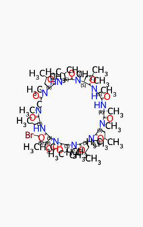 CC[C@@H]1NC(=O)[C@H]([C@H](O)[C@H](C)CBr)N(C)C(=O)[C@H](C(C)C)N(C)C(=O)[C@H](CC(C)C)N(C)C(=O)[C@H](CC(C)C)N(C)C(=O)[C@@H](C)NC(=O)[C@H](C)NC(=O)[C@H](CC(C)C)N(C)C(=O)[C@H](C(C)C)NC(=O)[C@H](CC(C)C)N(C)C(=O)CN(C)C1=O